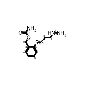 NNCCSSc1ccccc1COC(N)=O